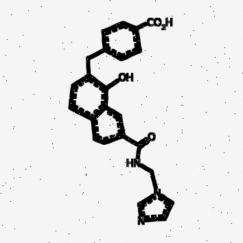 O=C(O)c1ccc(Cc2ccc3ccc(C(=O)NCn4ccnc4)cc3c2O)cc1